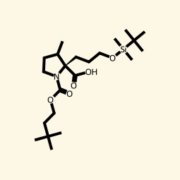 CC1CCN(C(=O)OCCC(C)(C)C)[C@@]1(CCCO[Si](C)(C)C(C)(C)C)C(=O)O